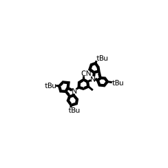 Cc1cc(-n2c3ccc(C(C)(C)C)cc3c3cc(C(C)(C)C)ccc32)cc(C#N)c1-n1c2ccc(C(C)(C)C)cc2c2cc(C(C)(C)C)ccc21